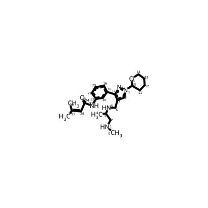 CNCC(C)NCc1cn(C2CCCCO2)nc1-c1cccc(NC(=O)C=C(C)C)c1